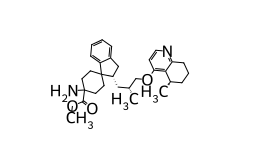 COC(=O)C1(N)CCC2(CC1)c1ccccc1C[C@@H]2C[C@@H](C)COc1ccnc2c1[C@H](C)CCC2